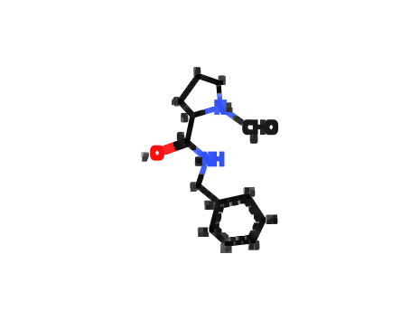 O=CN1CCCC1C(=O)NCc1ccccc1